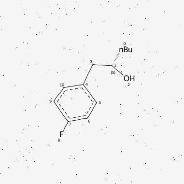 CCCC[C@H](O)Cc1ccc(F)cc1